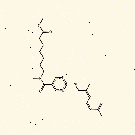 C=C(C)/C=C\C=C(\C)CNc1ncc(C(=O)N(C)CCCCCCC(=O)OC)cn1